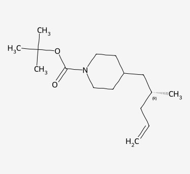 C=CC[C@@H](C)CC1CCN(C(=O)OC(C)(C)C)CC1